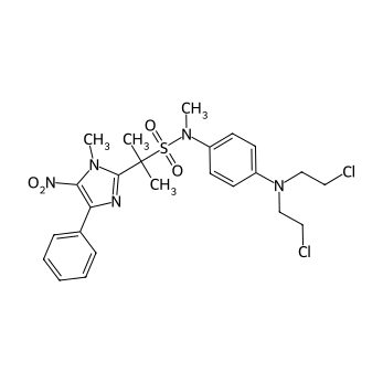 CN(c1ccc(N(CCCl)CCCl)cc1)S(=O)(=O)C(C)(C)c1nc(-c2ccccc2)c([N+](=O)[O-])n1C